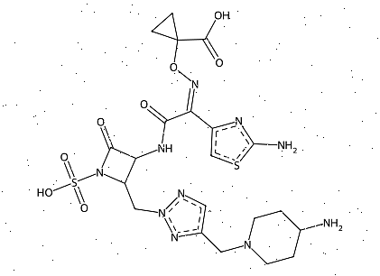 Nc1nc(/C(=N/OC2(C(=O)O)CC2)C(=O)NC2C(=O)N(S(=O)(=O)O)C2Cn2ncc(CN3CCC(N)CC3)n2)cs1